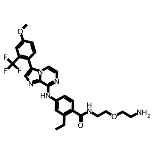 CCc1cc(Nc2nccn3c(-c4ccc(OC)cc4C(F)(F)F)cnc23)ccc1C(=O)NCCOCCN